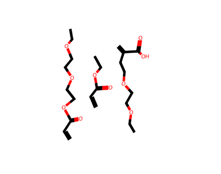 C=C(CCOCCOCC)C(=O)O.C=CC(=O)OCC.C=CC(=O)OCCOCCOCC